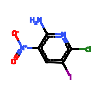 Nc1nc(Cl)c(I)cc1[N+](=O)[O-]